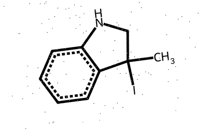 CC1(I)CNc2ccccc21